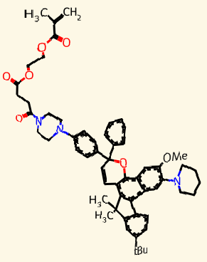 C=C(C)C(=O)OCCOC(=O)CCC(=O)N1CCN(c2ccc(C3(c4ccccc4)C=Cc4c5c(c6cc(N7CCCCC7)c(OC)cc6c4O3)-c3ccc(C(C)(C)C)cc3C5(C)C)cc2)CC1